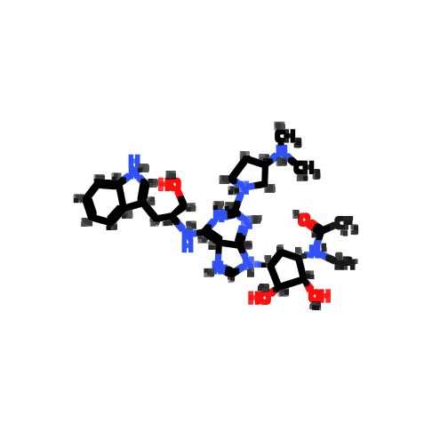 CCCN(C(=O)C(F)(F)F)[C@H]1C[C@@H](n2cnc3c(N[C@H](CO)Cc4c[nH]c5ccccc45)nc(N4CC[C@@H](N(C)C)C4)nc32)[C@H](O)[C@@H]1O